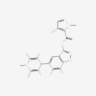 CCc1c(F)c(C2C(C#N)=C(C)N(C)C(C)=C2C#N)cc2c(NC(=O)c3c(Cl)cnn3C)n[nH]c12